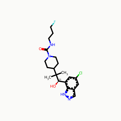 CC(C)(C1CCN(C(=O)NCCCF)CC1)[C@H](O)c1cc(Cl)cc2cn[nH]c12